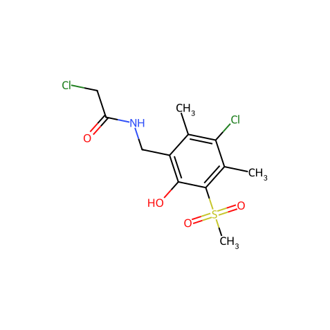 Cc1c(Cl)c(C)c(S(C)(=O)=O)c(O)c1CNC(=O)CCl